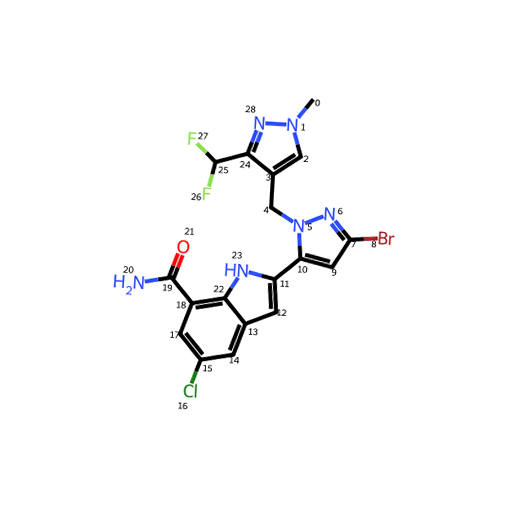 Cn1cc(Cn2nc(Br)cc2-c2cc3cc(Cl)cc(C(N)=O)c3[nH]2)c(C(F)F)n1